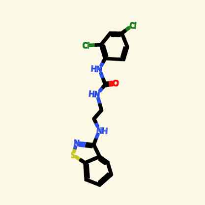 O=C(NCCNc1nsc2ccccc12)Nc1ccc(Cl)cc1Cl